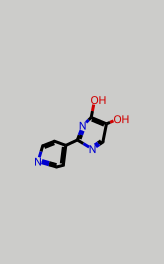 Oc1cnc(-c2ccncc2)nc1O